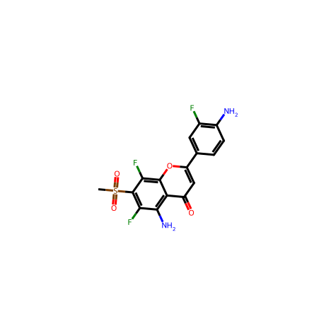 CS(=O)(=O)c1c(F)c(N)c2c(=O)cc(-c3ccc(N)c(F)c3)oc2c1F